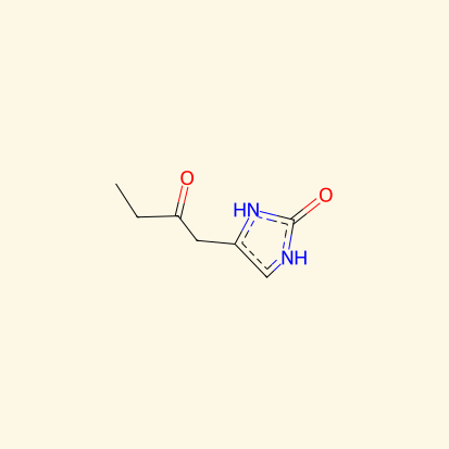 CCC(=O)Cc1c[nH]c(=O)[nH]1